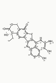 CC[C@@]1(O)C(=O)OCc2c1cc1n(c2=O)Cc2c-1nc1ccc(O)cc1c2NC(N)=NO